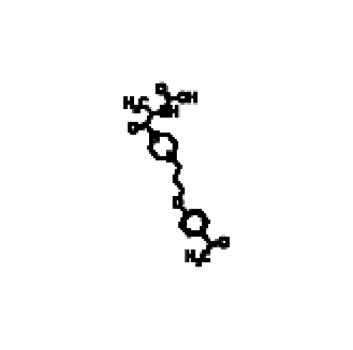 CC(=O)c1ccc(OCCCN2CCN(C(=O)[C@H](C)NC(=O)O)CC2)cc1